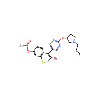 CC(C)(C)C(=O)Oc1ccc2c(c1)SCC(Br)=C2c1cnc(O[C@H]2CCN(CCCF)C2)nc1